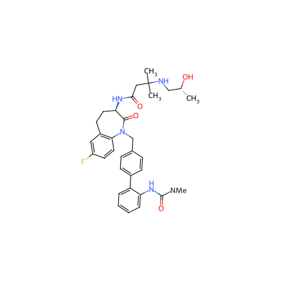 CNC(=O)Nc1ccccc1-c1ccc(CN2C(=O)[C@H](NC(=O)CC(C)(C)NC[C@@H](C)O)CCc3cc(F)ccc32)cc1